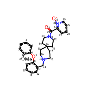 COc1ccccc1Oc1ccccc1CN1CCC2(CC1)CCN(C(=O)c1cccc[n+]1[O-])CC2